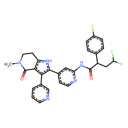 CN1CCc2[nH]c(-c3ccnc(NC(=O)C(CC(F)F)c4ccc(F)cc4)c3)c(-c3cccnc3)c2C1=O